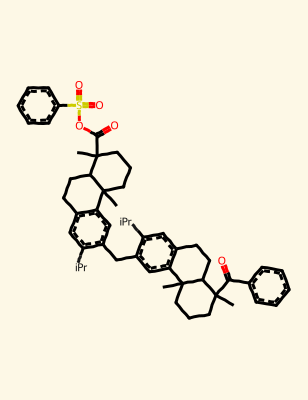 CC(C)c1cc2c(cc1Cc1cc3c(cc1C(C)C)CCC1C(C)(C(=O)c4ccccc4)CCCC31C)C1(C)CCCC(C)(C(=O)OS(=O)(=O)c3ccccc3)C1CC2